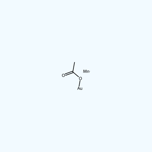 CC(=O)[O][Au].[Mn]